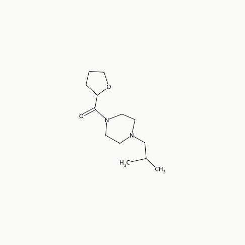 CC(C)CN1CCN(C(=O)C2CCCO2)CC1